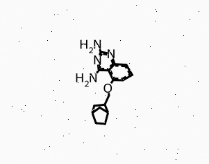 Nc1nc(N)c2c(OCC3CC4CCC3C4)cccc2n1